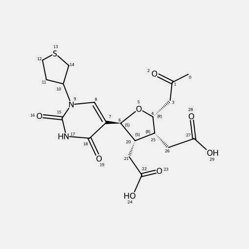 CC(=O)C[C@H]1O[C@H](c2cn(C3CCSC3)c(=O)[nH]c2=O)[C@@H](CC(=O)O)[C@H]1CC(=O)O